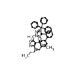 CCCN(Cc1ccc(-c2ccccc2-c2nnnn2C(c2ccccc2)(c2ccccc2)c2ccccc2)cc1)c1nsc(C)c1C(=O)OCC